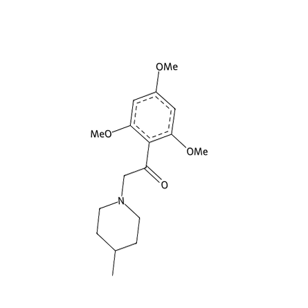 COc1cc(OC)c(C(=O)CN2CCC(C)CC2)c(OC)c1